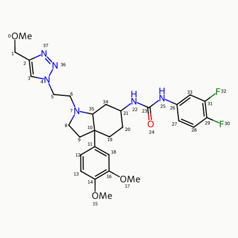 COCc1cn(CCN2CCC3(c4ccc(OC)c(OC)c4)CCC(NC(=O)Nc4ccc(F)c(F)c4)CC23)nn1